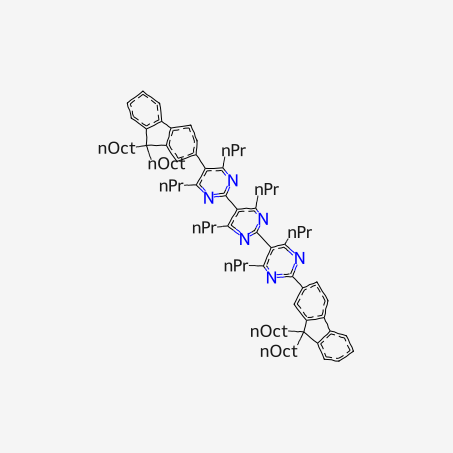 CCCCCCCCC1(CCCCCCCC)c2ccccc2-c2ccc(-c3nc(CCC)c(-c4nc(CCC)c(-c5nc(CCC)c(-c6ccc7c(c6)C(CCCCCCCC)(CCCCCCCC)c6ccccc6-7)c(CCC)n5)c(CCC)n4)c(CCC)n3)cc21